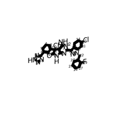 CC1(c2cccc(-c3nn[nH]n3)c2)C(=O)Nc2nc(-c3nn(Cc4ccccc4F)c4cc(Cl)ccc34)nc(N)c21